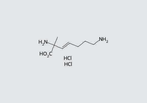 CC(N)(C=CCCCN)C(=O)O.Cl.Cl